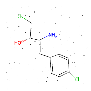 NC(=Cc1ccc(Cl)cc1)[C@H](O)CCl